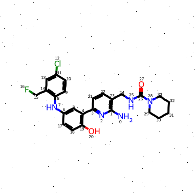 Nc1nc(-c2cc(Nc3ccc(Cl)cc3CF)ccc2O)ccc1CNC(=O)N1CCCCC1